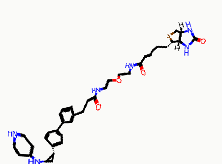 O=C(CCCC[C@@H]1SC[C@@H]2NC(=O)N[C@@H]21)NCCOCCNC(=O)CCc1cccc(-c2ccc([C@@H]3C[C@H]3NC3CCNCC3)cc2)c1